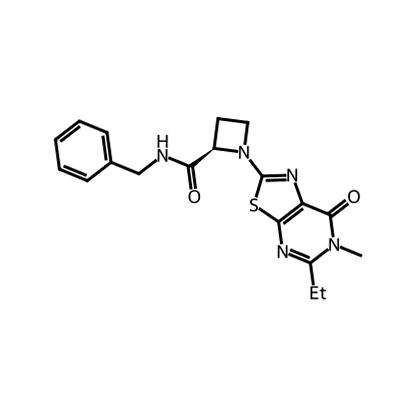 CCc1nc2sc(N3CC[C@@H]3C(=O)NCc3ccccc3)nc2c(=O)n1C